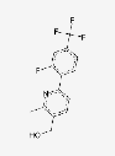 Cc1nc(-c2ccc(C(F)(F)F)cc2F)ccc1CO